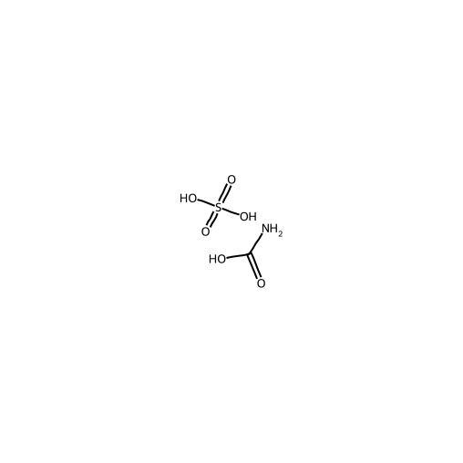 NC(=O)O.O=S(=O)(O)O